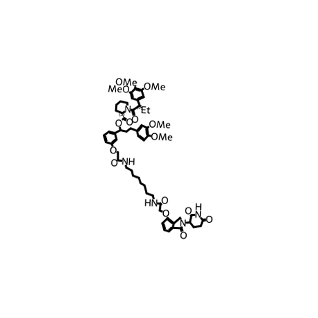 CC[C@H](C(=O)N1CCCC[C@H]1C(=O)OC(CCc1ccc(OC)c(OC)c1)c1cccc(OCC(=O)NCCCCCCCCNC(=O)COc2cccc3c2CN(C2CCC(=O)NC2=O)C3=O)c1)c1cc(OC)c(OC)c(OC)c1